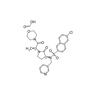 C[C@@H](C(=O)N1CCOCC1)N1CC[C@H](N(Cc2cccnc2)S(=O)(=O)c2ccc3cc(Cl)ccc3c2)C1=O.O=CO